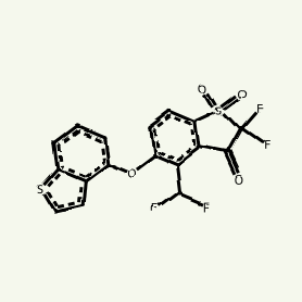 O=C1c2c(ccc(Oc3cccc4sccc34)c2C(F)F)S(=O)(=O)C1(F)F